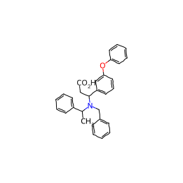 CC(c1ccccc1)N(Cc1ccccc1)C(CC(=O)O)c1cccc(Oc2ccccc2)c1